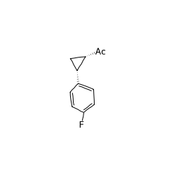 CC(=O)[C@H]1C[C@H]1c1ccc(F)cc1